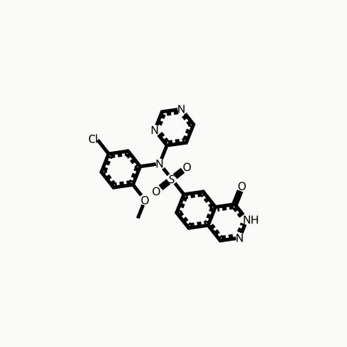 COc1ccc(Cl)cc1N(c1ccncn1)S(=O)(=O)c1ccc2cn[nH]c(=O)c2c1